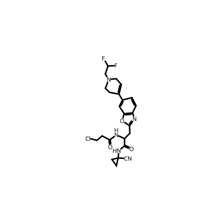 N#CC1(NC(=O)C(Cc2nc3ccc(C4=CCN(CC(F)F)CC4)cc3o2)NC(=O)CCCl)CC1